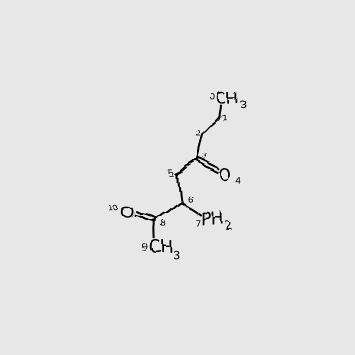 CCCC(=O)CC(P)C(C)=O